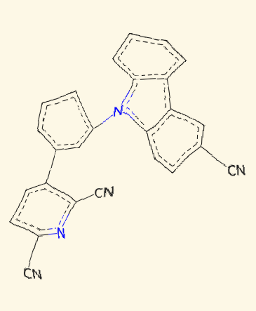 N#Cc1ccc2c(c1)c1ccccc1n2-c1cccc(-c2ccc(C#N)nc2C#N)c1